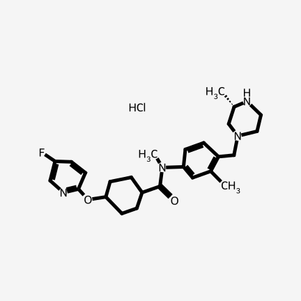 Cc1cc(N(C)C(=O)C2CCC(Oc3ccc(F)cn3)CC2)ccc1CN1CCN[C@@H](C)C1.Cl